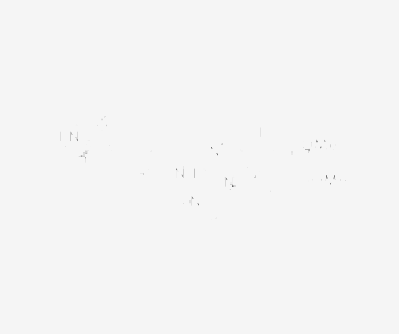 COc1ccc(-c2c(C)nc3c(NCc4ccc(S(N)(=O)=O)cc4)nccn23)cc1OC